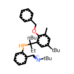 CCCCC(CC)(Pc1ccccc1/C=N/C(C)(C)C)c1cc(C(C)(C)C)cc(C)c1OCc1ccccc1